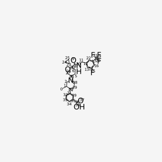 CC1CN([C@@H]2CC[C@@](C(=O)NCc3cc(F)cc(C(F)(F)F)c3)(C3CC3)OC2)CC[C@@H]1c1cccc(C(=O)O)c1